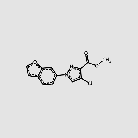 COC(=O)c1nn(-c2ccc3ccoc3c2)cc1Cl